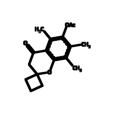 CC(=O)Oc1c(C)c(C)c2c(c1C)C(=O)CC1(CCC1)O2